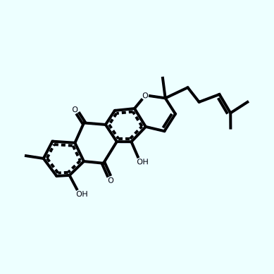 CC(C)=CCCC1(C)C=Cc2c(cc3c(c2O)C(=O)c2c(O)cc(C)cc2C3=O)O1